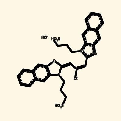 CCC(=Cc1oc2cc3ccccc3cc2[n+]1CCCS(=O)(=O)O)C=C1Oc2cc3ccccc3cc2N1CCCS(=O)(=O)O.[OH-]